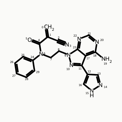 C=C(C#N)C(=O)N(CCn1nc(-c2cn[nH]c2)c2c(N)ncnc21)c1ccccc1